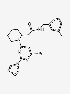 Cc1cccc(CNC(=O)CC2CCCCN2c2cc(C(C)C)nc(-n3ccnc3)n2)c1